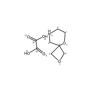 C1COC2(CN1)COC2.O=C(O)C(=O)O